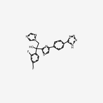 OC(Cn1cncn1)(c1nc(-c2ccc(-c3nnn[nH]3)cc2)cs1)c1ccc(F)cc1F